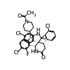 CC(=O)N1CCC(Oc2ccc(Cl)c(F)c2[C@H]2NC(=O)C[C@@H](C3C=CC=C(Cl)C3)[C@]23C(=O)Nc2cc(Cl)ccc23)CC1